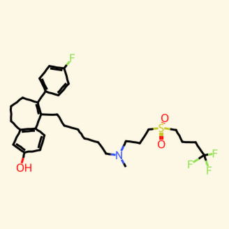 CN(CCCCCCC1=C(c2ccc(F)cc2)CCCc2cc(O)ccc21)CCCS(=O)(=O)CCCC(F)(F)F